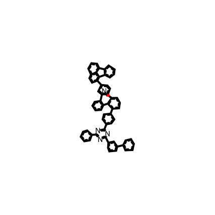 N#Cc1cccc(-c2ccc(-c3nc(-c4ccccc4)nc(-c4cccc(-c5ccccc5)c4)n3)cc2)c1-c1ccccc1-c1cccc(-c2ccc3cccc4c3c2-c2ccccc2-4)c1